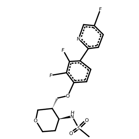 CS(=O)(=O)N[C@H]1CCOC[C@@H]1COc1ccc(-c2ccc(F)cn2)c(F)c1F